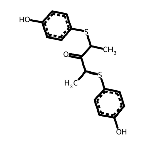 CC(Sc1ccc(O)cc1)C(=O)C(C)Sc1ccc(O)cc1